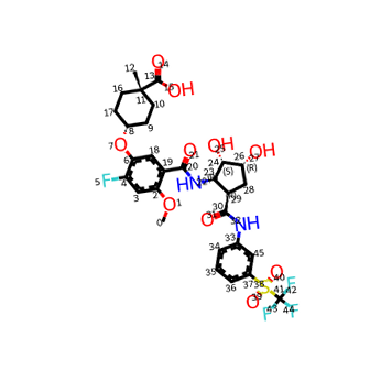 COc1cc(F)c(O[C@H]2CC[C@@](C)(C(=O)O)CC2)cc1C(=O)N[C@H]1[C@H](O)[C@H](O)C[C@H]1C(=O)Nc1cccc(S(=O)(=O)C(F)(F)F)c1